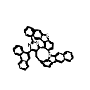 c1ccc(-c2nc(-c3cc4ccccc4c4ccccc34)c3c(n2)-c2c(ccc4sc5ccccc5c24)-n2c4cc(ccc4c4cc5ccccc5cc42)C3)cc1